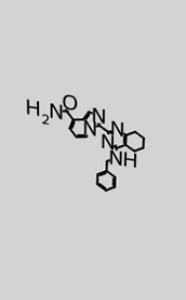 NC(=O)c1cccn2c(-c3nc4c(c(NCc5ccccc5)n3)CCCC4)ncc12